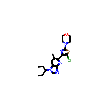 CCC(CC)n1cnc2nc(-c3nc(N4CCOCC4)sc3Cl)c(C)cc21